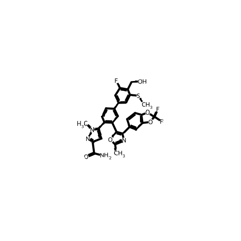 CSc1cc(-c2ccc(-c3cc(C(N)=O)nn3C)c(-c3oc(C)nc3-c3ccc4c(c3)OC(F)(F)O4)c2)cc(F)c1CO